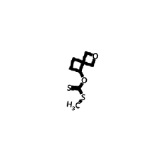 CSC(=S)OC1CCC12COC2